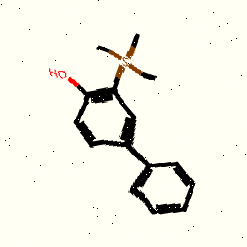 CS(C)(C)c1cc(-c2ccccc2)ccc1O